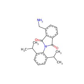 CC(C)c1cccc(C(C)C)c1N1C(=O)c2cccc(CN)c2C1=O